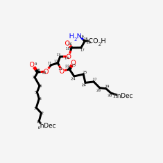 CCCCCCCCCCCCCCCCCC(=O)OCC(COC(=O)CC(N)C(=O)O)OC(=O)CCCCCCCCCCCCCCCCC